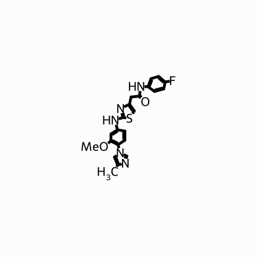 COc1cc(Nc2nc(CC(=O)Nc3ccc(F)cc3)cs2)ccc1-n1cnc(C)c1